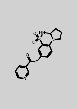 O=C(Oc1ccc2c(c1)S(=O)(=O)NC1CCCN21)c1cccnc1